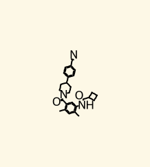 Cc1cc(C)c(C(=O)N2CCC(c3ccc(C#N)cc3)CC2)cc1NC(=O)C1CCC1